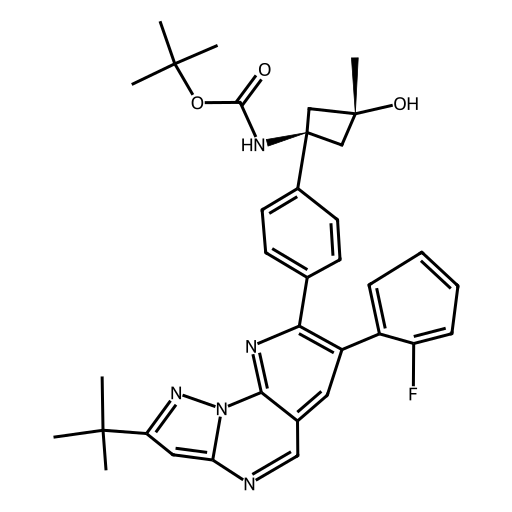 CC(C)(C)OC(=O)N[C@]1(c2ccc(-c3nc4c(cnc5cc(C(C)(C)C)nn54)cc3-c3ccccc3F)cc2)C[C@@](C)(O)C1